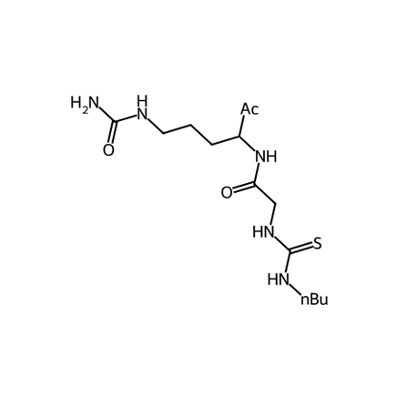 CCCCNC(=S)NCC(=O)NC(CCCNC(N)=O)C(C)=O